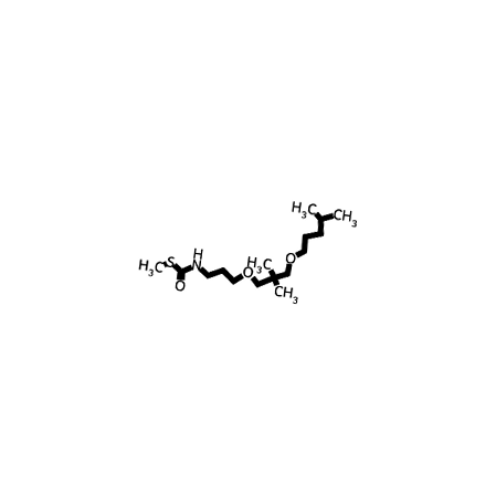 CSC(=O)NCCCOCC(C)(C)COCCCC(C)C